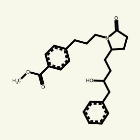 COC(=O)c1ccc(CCCN2C(=O)CCC2CCC(O)Cc2ccccc2)cc1